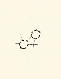 CC1(C)c2ccccc2-c2c1ccc(O)c2N